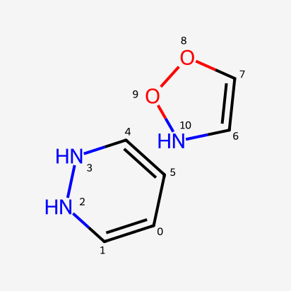 C1=CNNC=C1.C1=COON1